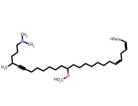 CCCCC/C=C\C/C=C\CCCCCCCC(CCCCCCC#CC(C)CCCN(C)C)OC(=O)O